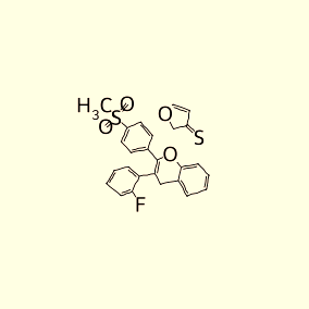 CS(=O)(=O)c1ccc(C2=C(c3ccccc3F)Cc3ccccc3O2)cc1.S=C1C=COC1